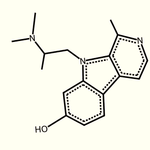 Cc1nccc2c3ccc(O)cc3n(CC(C)N(C)C)c12